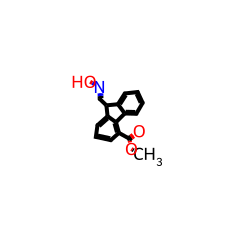 COC(=O)c1cccc2c1-c1ccccc1C2C=NO